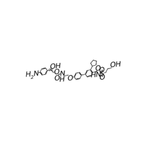 Nc1ccc([C@H](O)COC(=O)NCCOc2ccc(-c3ccc(C(=O)NS(=O)(=O)CCCO)c(C4CCCC4)c3)cc2)cc1